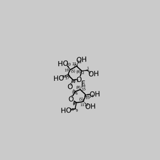 OC[C@H]1O[C@H](O[C@H]2O[C@H](CO)[C@@H](O)[C@H](O)[C@H]2F)[C@H](O)[C@@H](O)[C@@H]1O